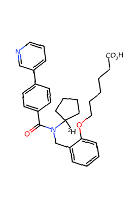 [2H]C1(N(Cc2ccccc2OCCCCCC(=O)O)C(=O)c2ccc(-c3cccnc3)cc2)CCCC1